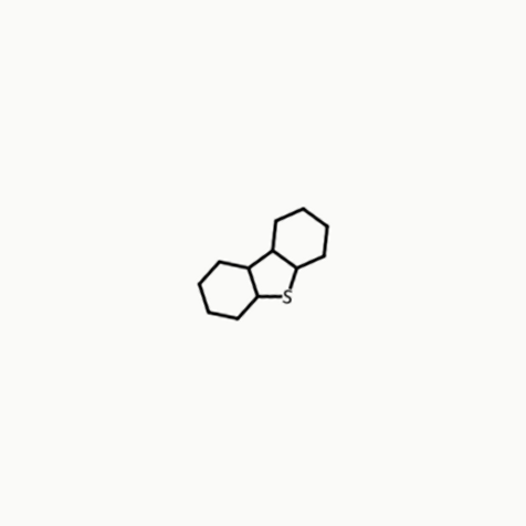 C1CCC2C(C1)SC1CCCCC12